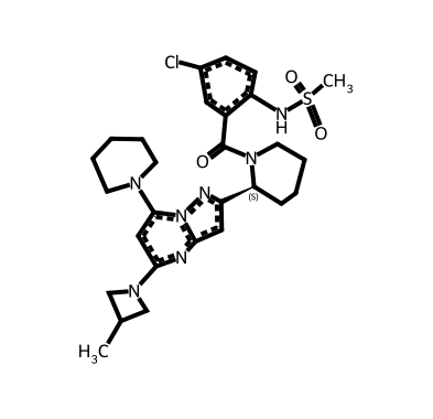 CC1CN(c2cc(N3CCCCC3)n3nc([C@@H]4CCCCN4C(=O)c4cc(Cl)ccc4NS(C)(=O)=O)cc3n2)C1